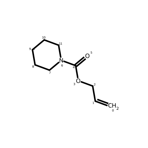 C=CCOC(=O)N1CC[CH]CC1